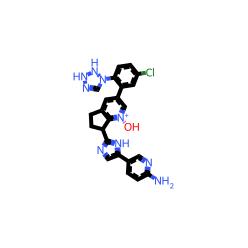 Nc1ccc(-c2cnc(C3CCc4cc(-c5cc(Cl)ccc5N5C=NNN5)c[n+](O)c43)[nH]2)cn1